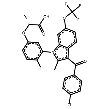 Cc1c(C(=O)c2ccc(Cl)cc2)c2ccc(OC(F)(F)F)cc2n1-c1cc(O[C@H](C)C(=O)O)ccc1F